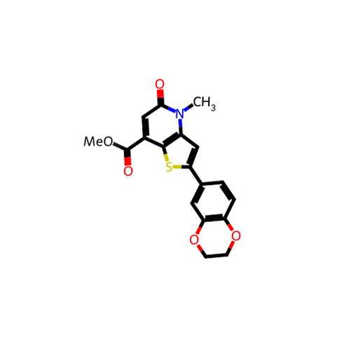 COC(=O)c1cc(=O)n(C)c2cc(-c3ccc4c(c3)OCCO4)sc12